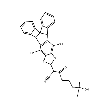 CC(C)(O)CCOC(=O)C(C#N)C1Sc2c(O)c3c(c(O)c2S1)C1c2ccccc2C12c1ccccc1C32